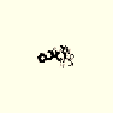 COC(=O)[C@@H]1NCc2c(sc(C)c2Cc2ccccc2)-n2c(C)nnc21